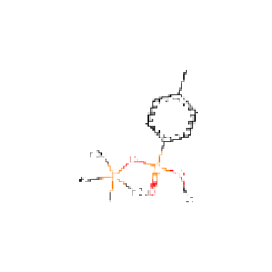 CCCCP(C)(CCCC)(CCCC)OP(=O)(OCC)c1ccc(C)cc1